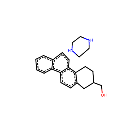 C1CNCCN1.OCC1CCc2c(ccc3c2ccc2ccccc23)C1